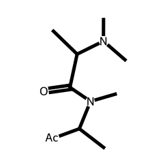 CC(=O)C(C)N(C)C(=O)C(C)N(C)C